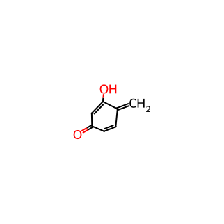 C=C1C=CC(=O)C=C1O